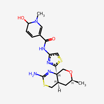 C[C@H]1C[C@H]2CSC(N)=N[C@@]2(c2nc(NC(=O)C3=CN(C)C(O)C=C3)cs2)CO1